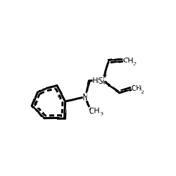 C=C[SiH](C=C)CN(C)c1ccccc1